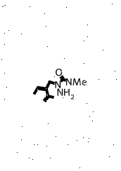 C=C(C)/C(=C\C)CN(N)C(=O)NC